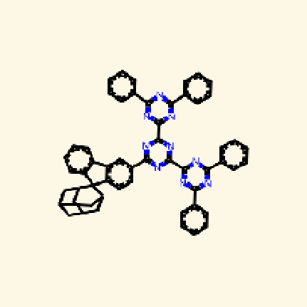 c1ccc(-c2nc(-c3ccccc3)nc(-c3nc(-c4ccc5c(c4)-c4ccccc4C54C5CC6CC(C5)CC4C6)nc(-c4nc(-c5ccccc5)nc(-c5ccccc5)n4)n3)n2)cc1